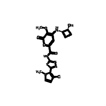 COc1c(N[C@H]2CC[C@H]2O)cc(C(=O)Nc2nnc(-c3c(Cl)ccn3C)s2)oc1=O